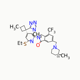 CCSc1cc([C@]2(c3nncn3C)C[C@H](C)C2)cc(N2Cc3c(cc(CN4CCC[C@H](C)C4)cc3C(F)(F)F)C2=O)n1